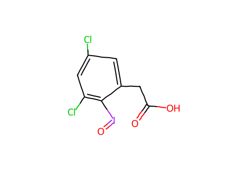 O=Ic1c(Cl)cc(Cl)cc1CC(=O)O